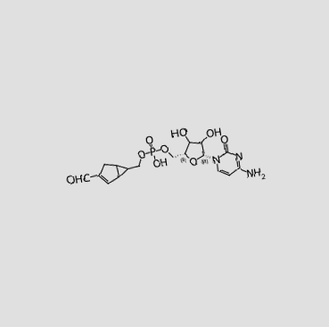 Nc1ccn([C@@H]2O[C@H](COP(=O)(O)OCC3C4C=C(C=O)CC43)C(O)C2O)c(=O)n1